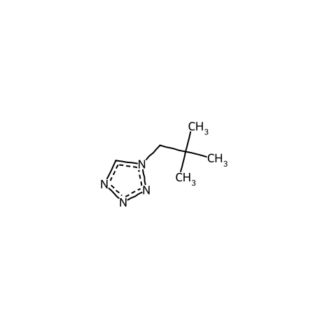 CC(C)(C)Cn1cnnn1